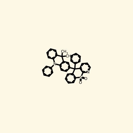 CC1(C)c2ccccc2N(c2ccccc2)c2ccc(C3(c4ccccc4)c4ccccc4S(=O)(=O)c4ncccc43)cc21